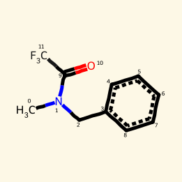 CN(Cc1ccccc1)C(=O)C(F)(F)F